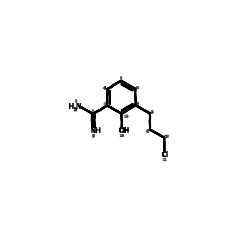 N=C(N)c1cccc(CCCCl)c1O